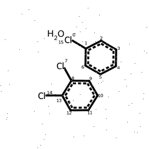 Clc1ccccc1.Clc1ccccc1Cl.O